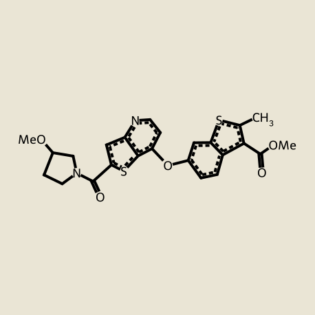 COC(=O)c1c(C)sc2cc(Oc3ccnc4cc(C(=O)N5CCC(OC)C5)sc34)ccc12